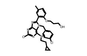 Cc1ccc(OCCCO)c(-c2nc3nc(Cl)nc(NCCC4CC4)c3n2Cc2ccc(Cl)cc2)c1